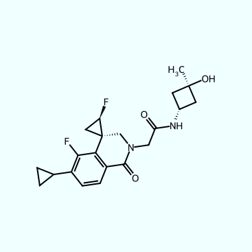 C[C@]1(O)C[C@H](NC(=O)CN2C[C@@]3(C[C@H]3F)c3c(ccc(C4CC4)c3F)C2=O)C1